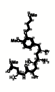 CNC(=O)C[C@@H](C)NC(=O)[C@@H](C[C@H](O)[C@@H](N)C[C@H](Cc1ccc(OC)c(OCCCOC)c1)C(C)C)C(C)C